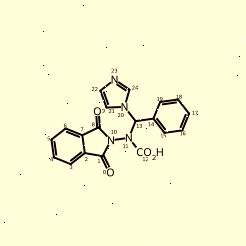 O=C1c2ccccc2C(=O)N1N(C(=O)O)C(c1ccccc1)n1ccnc1